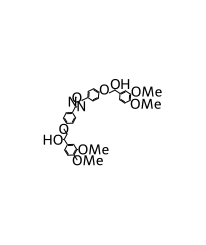 COc1ccc(C(O)COc2ccc(-c3noc(-c4ccc(OCC(O)c5ccc(OC)c(OC)c5)cc4)n3)cc2)cc1OC